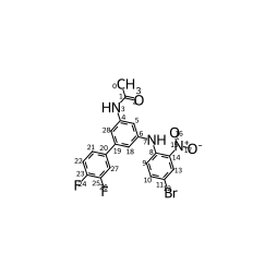 CC(=O)Nc1cc(Nc2ccc(Br)cc2[N+](=O)[O-])cc(-c2ccc(F)c(F)c2)c1